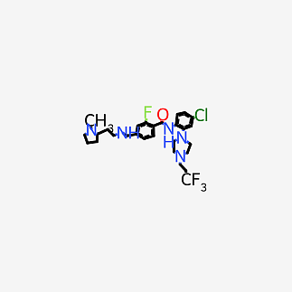 CN1CCCC1CCNCc1ccc(C(=O)Nc2ccc(Cl)cc2N2CCN(CCC(F)(F)F)CC2)c(F)c1